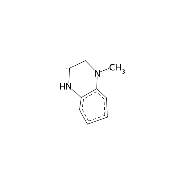 CN1C[CH]Nc2ccccc21